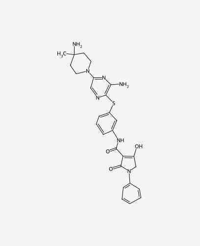 CC1(N)CCN(c2cnc(Sc3cccc(NC(=O)C4=C(O)CN(c5ccccc5)C4=O)c3)c(N)n2)CC1